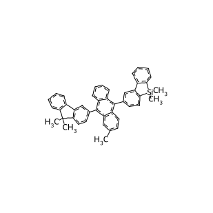 Cc1ccc2c(-c3ccc4c(c3)-c3ccccc3[Si]4(C)C)c3ccccc3c(-c3ccc4c(c3)-c3ccccc3C4(C)C)c2c1